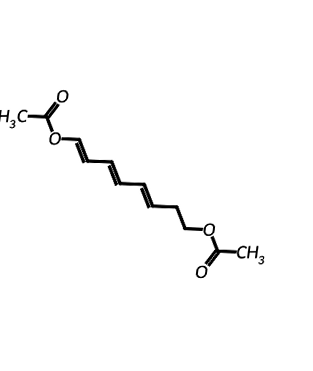 CC(=O)OC=CC=CC=CCCOC(C)=O